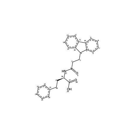 O=C(CCC1c2ccccc2-c2ccccc21)N[C@H](CCc1ccccc1)C(=O)O